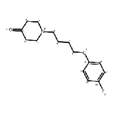 O=C1CCN(CCCCOc2ccc(F)cc2)CC1